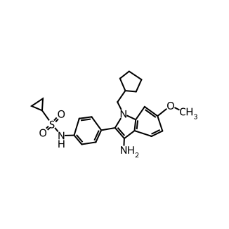 COc1ccc2c(N)c(-c3ccc(NS(=O)(=O)C4CC4)cc3)n(CC3CCCC3)c2c1